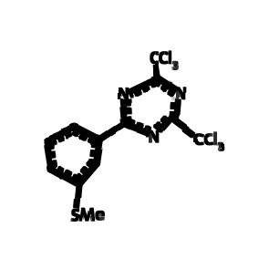 CSc1cccc(-c2nc(C(Cl)(Cl)Cl)nc(C(Cl)(Cl)Cl)n2)c1